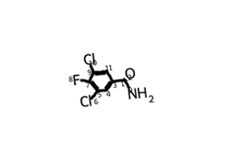 NC(=O)c1cc(Cl)c(F)c(Cl)c1